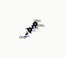 COc1cc(OC)c2c(=O)[nH]c(-c3cc(C)c(OCCNC=O)c(C)c3)cc2c1